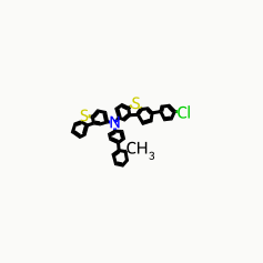 CC1CC=CC=C1c1ccc(N(c2ccc3sc4ccccc4c3c2)c2ccc3sc4cc(-c5ccc(Cl)cc5)ccc4c3c2)cc1